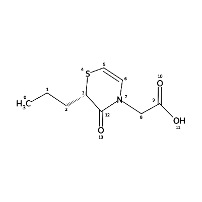 CCC[C@@H]1SC=CN(CC(=O)O)C1=O